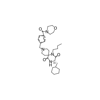 CCCCN1C(=O)[C@H](CC2CCCCC2)NC(=O)C12CCN(Cc1ccc(C(=O)N3CCOCC3)cc1)CC2